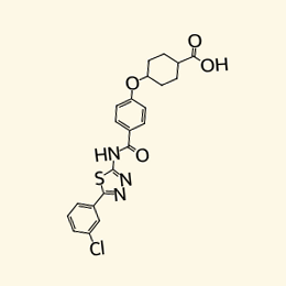 O=C(Nc1nnc(-c2cccc(Cl)c2)s1)c1ccc(OC2CCC(C(=O)O)CC2)cc1